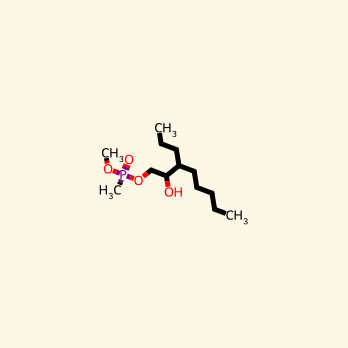 CCCCCC(CCC)C(O)COP(C)(=O)OC